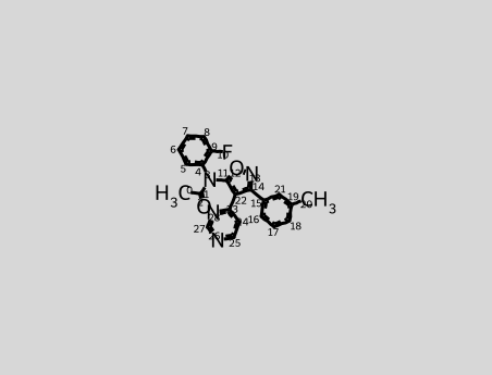 CC(=O)N(c1ccccc1F)c1onc(-c2cccc(C)c2)c1-c1ccncn1